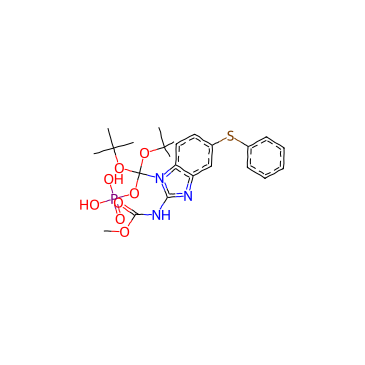 COC(=O)Nc1nc2cc(Sc3ccccc3)ccc2n1C(OC(C)(C)C)(OC(C)(C)C)OP(=O)(O)O